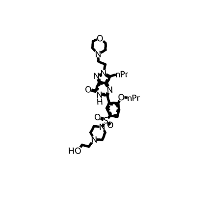 CCCOc1ccc(S(=O)(=O)N2CCN(CCO)CC2)cc1-c1nc2c(CCC)n(CCN3CCOCC3)nc2c(=O)[nH]1